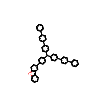 c1ccc(-c2ccc(-c3ccc(C(c4ccc(-c5ccc(-c6ccccc6)cc5)cc4)c4ccc(-c5ccc6oc7ccccc7c6c5)cc4)cc3)cc2)cc1